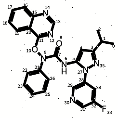 CC(C)c1cc(NC(=O)N(Oc2ncnc3ccccc23)c2ccccc2)n(-c2cncc(F)c2)n1